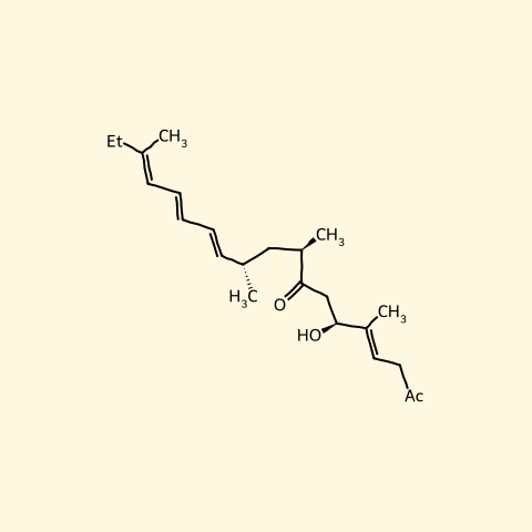 CC/C(C)=C/C=C/C=C/[C@@H](C)C[C@@H](C)C(=O)C[C@H](O)/C(C)=C/CC(C)=O